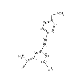 CCc1ccc(C#C/C(=C/C=C(\C)F)NNC)cc1